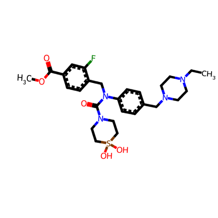 CCN1CCN(Cc2ccc(N(Cc3ccc(C(=O)OC)cc3F)C(=O)N3CCS(O)(O)CC3)cc2)CC1